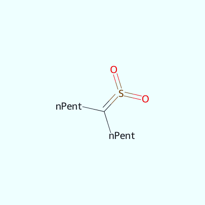 CCCCCC(CCCCC)=S(=O)=O